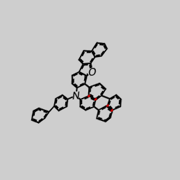 c1ccc(-c2ccc(-c3c(N(c4ccc(-c5ccccc5)cc4)c4ccc(-c5ccccc5)cc4)ccc4c3oc3c5ccccc5ccc43)cc2)cc1